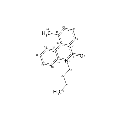 CCCCn1c(=O)c2cccc(C)c2c2ccccc21